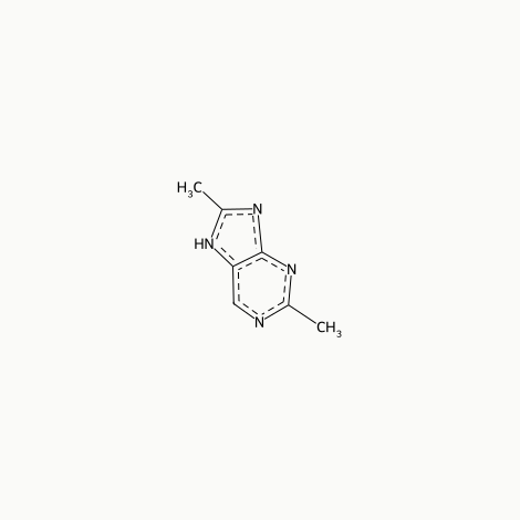 Cc1ncc2[nH]c(C)nc2n1